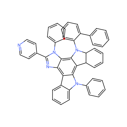 C1=CC2c3c(c4c(nc(-c5ccncc5)n4-c4ccccc4)c4c5ccccc5n(-c5ccccc5)c34)N(c3ccccc3-c3ccccc3)C2C=C1